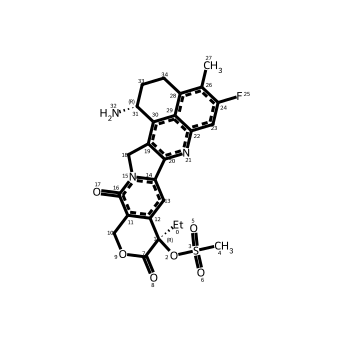 CC[C@]1(OS(C)(=O)=O)C(=O)OCc2c1cc1n(c2=O)Cc2c-1nc1cc(F)c(C)c3c1c2[C@H](N)CC3